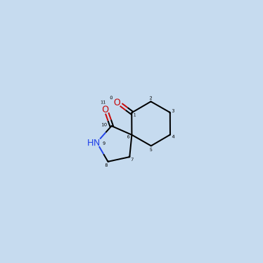 O=C1CCCCC12CCNC2=O